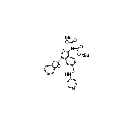 CC(C)(C)OC(=O)N(C(=O)OC(C)(C)C)c1ncc(-c2cc3ccccc3o2)c2cc(CNc3ccncc3)ccc12